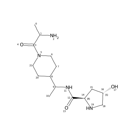 CC(N)C(=O)N1CCC(C(C)NC(=O)[C@H]2C[C@H](O)CN2)CC1